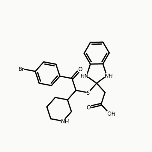 O=C(O)CC1(SC(C(=O)c2ccc(Br)cc2)C2CCCNC2)Nc2ccccc2N1